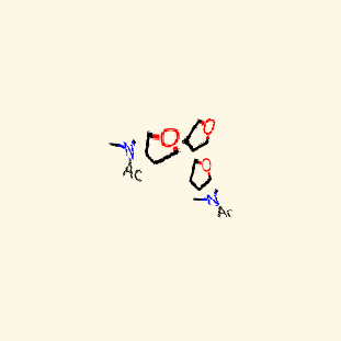 C1CCOC1.C1CCOC1.C1CCOC1.CC(=O)N(C)C.CC(=O)N(C)C